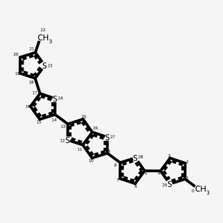 Cc1ccc(-c2ccc(-c3cc4sc(-c5ccc(-c6ccc(C)s6)s5)cc4s3)s2)s1